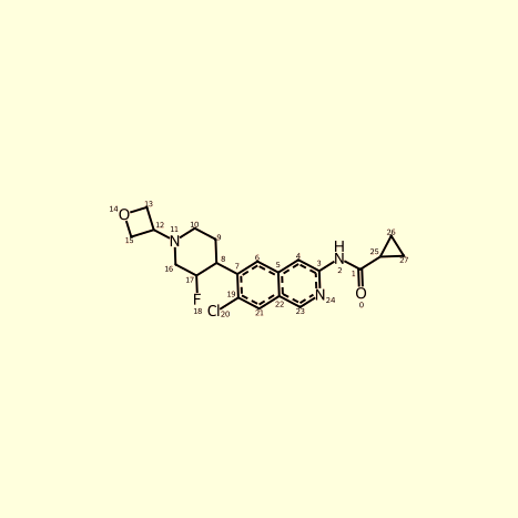 O=C(Nc1cc2cc(C3CCN(C4COC4)CC3F)c(Cl)cc2cn1)C1CC1